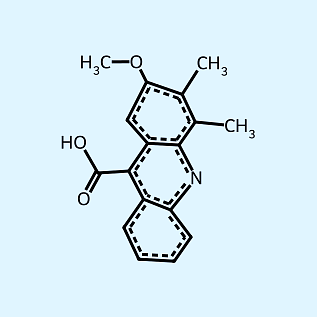 COc1cc2c(C(=O)O)c3ccccc3nc2c(C)c1C